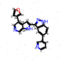 c1cncc(-c2ccc3[nH]nc(-c4cc5c(-c6ccoc6)cncc5[nH]4)c3c2)c1